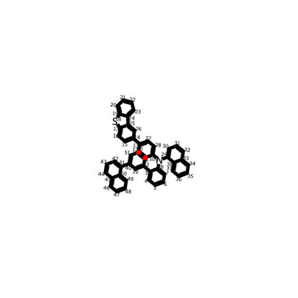 c1cc(-c2ccccc2N(c2ccc(-c3ccc4sc5ccccc5c4c3)cc2)c2cccc3ccccc23)cc(-c2cccc3ccccc23)c1